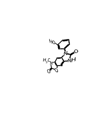 Cn1c(=O)oc2cc3[nH]c(=O)n(-c4cccc(O)c4)c3cc21